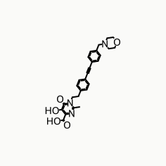 Cc1nc(C(=O)O)c(O)c(=O)n1CCc1ccc(C#Cc2ccc(CN3CCOCC3)cc2)cc1